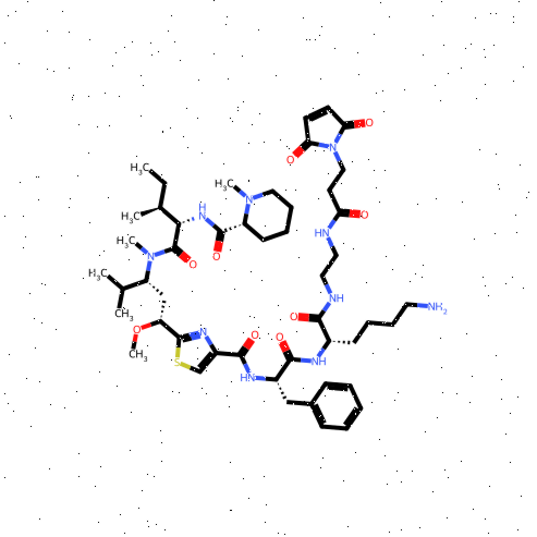 CC[C@H](C)[C@H](NC(=O)[C@H]1CCCCN1C)C(=O)N(C)[C@H](C[C@@H](OC)c1nc(C(=O)N[C@@H](Cc2ccccc2)C(=O)N[C@@H](CCCCN)C(=O)NCCNC(=O)CCN2C(=O)C=CC2=O)cs1)C(C)C